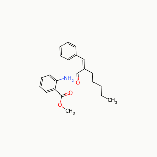 CCCCCC(C=O)=Cc1ccccc1.COC(=O)c1ccccc1N